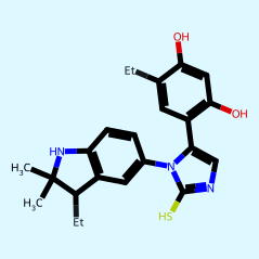 CCc1cc(-c2cnc(S)n2-c2ccc3c(c2)C(CC)C(C)(C)N3)c(O)cc1O